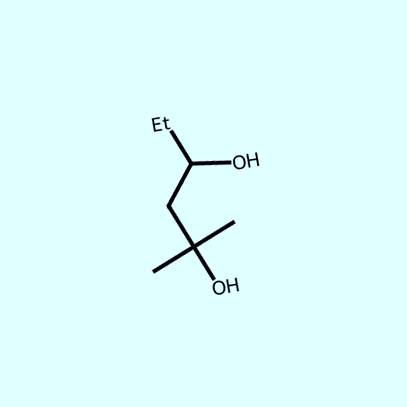 CCC(O)CC(C)(C)O